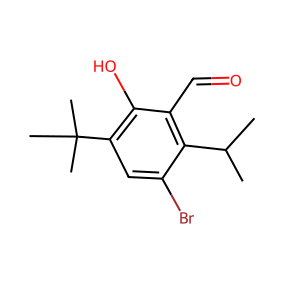 CC(C)c1c(Br)cc(C(C)(C)C)c(O)c1C=O